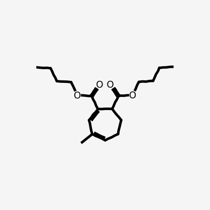 CCCCOC(=O)C1=CC(C)=CCCC1C(=O)OCCCC